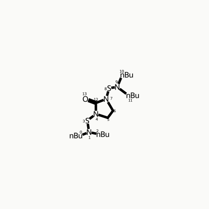 CCCCN(CCCC)SN1CCN(SN(CCCC)CCCC)C1=O